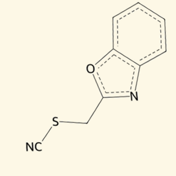 N#CSCc1nc2ccccc2o1